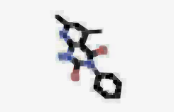 Cc1cc(C)c2c(=O)n(-c3ccccc3)c(=O)[nH]c2n1